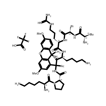 CC[C@H](C)[C@H](N)C(=O)N[C@H](C(=O)N[C@@H](CCCNC(=N)N)C(=O)N[C@@H](CCCCN)C(=O)C(NC(=O)[C@@H]1CCCN1C(=O)[C@@H](N)CCCCN)(C(C)=O)c1cc(OC)cc2c1C(C)(C)c1ccc(OC)cc1O2)C(C)C.O=C(O)C(F)(F)F